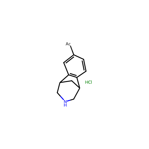 CC(=O)c1ccc2c(c1)C1CNCC2C1.Cl